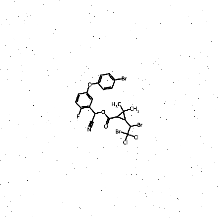 CC1(C)C(C(=O)OC(C#N)c2cc(Oc3ccc(Br)cc3)ccc2F)C1C(Br)C(Cl)(Cl)Br